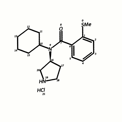 CSc1ccccc1C(=O)N(C1CCCCC1)[C@H]1CCNC1.Cl